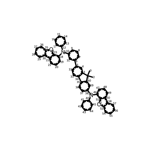 CC1(C)c2cc(-c3cccc(N(c4ccccc4)c4cccc5c4oc4ccccc45)c3)ccc2-c2ccc(N(c3ccccc3)c3cccc4c3oc3ccccc34)cc21